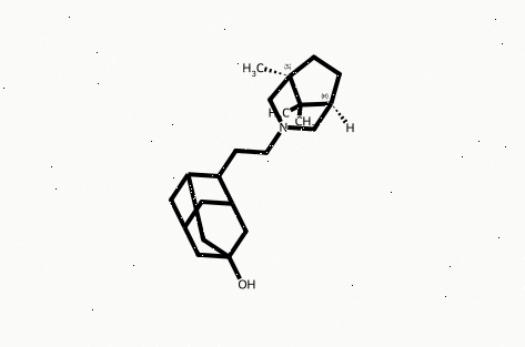 CC1(C)[C@H]2CC[C@]1(C)CN(CCC1C3CC4CC1CC(O)(C4)C3)C2